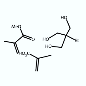 C=C(C)C(=O)O.C=C(C)C(=O)OC.CCC(CO)(CO)CO